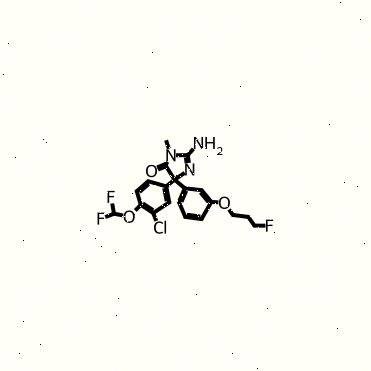 CN1C(=O)C(c2cccc(OCCCF)c2)(c2ccc(OC(F)F)c(Cl)c2)N=C1N